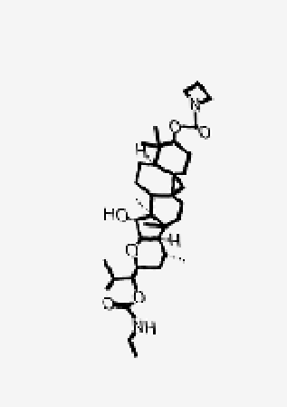 CCNC(=O)OC(C(C)C)C1C[C@@H](C)[C@H]2C(O1)[C@H](O)[C@@]1(C)C3CC[C@H]4C(C)(C)C(OC(=O)N5CCC5)CCC45CC35CCC21C